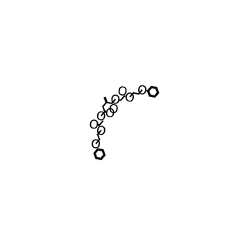 C=C(CC(=O)OCC(=O)OCCOc1ccccc1)C(=O)OCC(=O)OCCOc1ccccc1